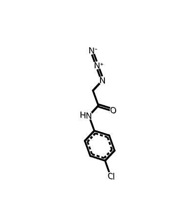 [N-]=[N+]=NCC(=O)Nc1ccc(Cl)cc1